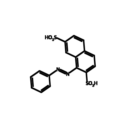 O=S(=O)(O)c1ccc2ccc(S(=O)(=O)O)c(N=Nc3ccccc3)c2c1